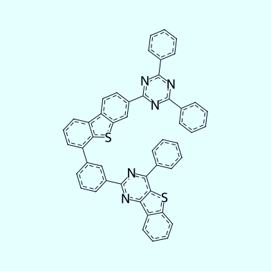 c1ccc(-c2nc(-c3ccccc3)nc(-c3ccc4c(c3)sc3c(-c5cccc(-c6nc(-c7ccccc7)c7sc8ccccc8c7n6)c5)cccc34)n2)cc1